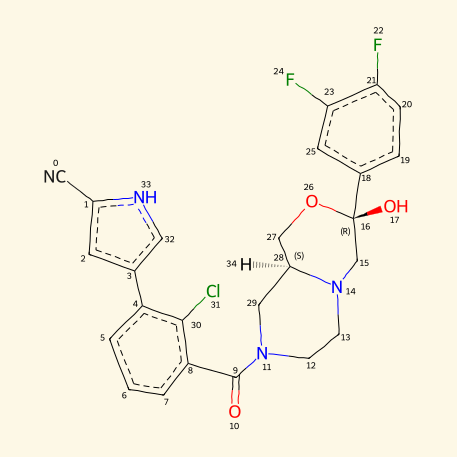 N#Cc1cc(-c2cccc(C(=O)N3CCN4C[C@@](O)(c5ccc(F)c(F)c5)OC[C@@H]4C3)c2Cl)c[nH]1